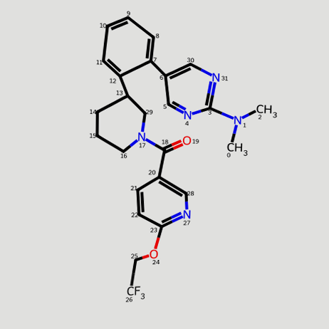 CN(C)c1ncc(-c2ccccc2C2CCCN(C(=O)c3ccc(OCC(F)(F)F)nc3)C2)cn1